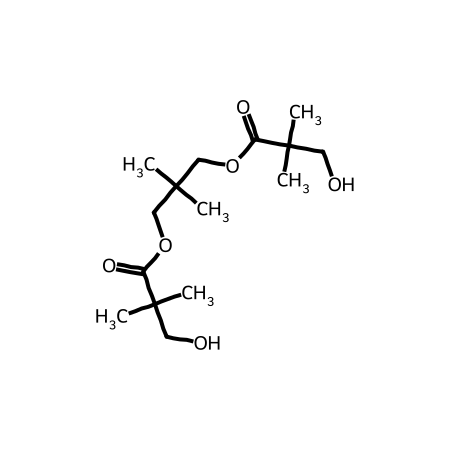 CC(C)(COC(=O)C(C)(C)CO)COC(=O)C(C)(C)CO